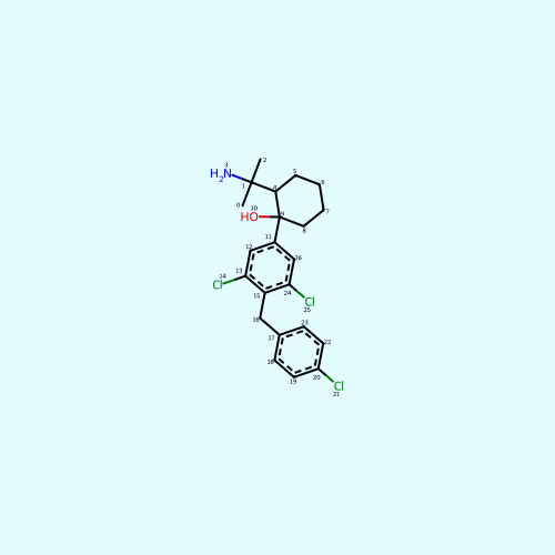 CC(C)(N)C1CCCCC1(O)c1cc(Cl)c(Cc2ccc(Cl)cc2)c(Cl)c1